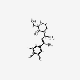 N/C(=C\N(N)C1CCOC(CO)C1O)c1cc(F)c(F)c(F)c1